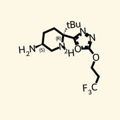 [2H]N1C[C@@H](N)CC[C@]1(c1nnc(OCCC(F)(F)F)o1)C(C)(C)C